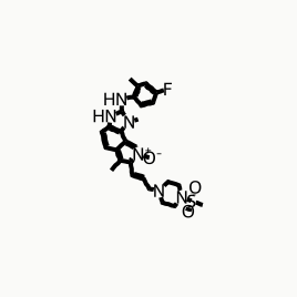 Cc1cc(F)ccc1NC1Nc2ccc3c(C)c(C=CCN4CCN(S(C)(=O)=O)CC4)[n+]([O-])cc3c2N1C